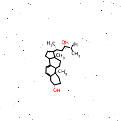 CC(C)[C@@H](C)[C@@H](O)C[C@@H](C)C1CCC2C3=CC=C4C[C@@H](O)CC[C@]4(C)C3CC[C@@]21C